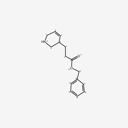 O=C(CCC1C=CCNC1)OCc1ccccc1